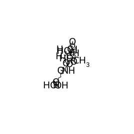 C[C@@H]1C[C@H]2[C@@H]3CCC4=CC(=O)C=C[C@]4(C)[C@@]3(F)[C@@H](O)C[C@]2(C)[C@@]1(O)C(=O)COC(=O)CCNC(=O)CCCCCON(O)O